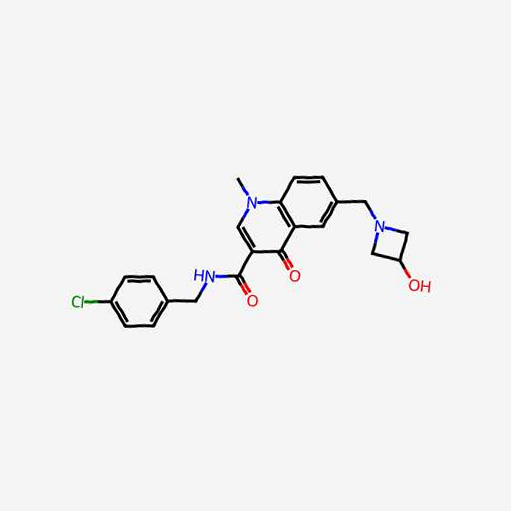 Cn1cc(C(=O)NCc2ccc(Cl)cc2)c(=O)c2cc(CN3CC(O)C3)ccc21